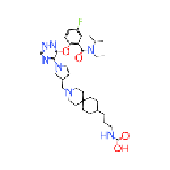 CCN(C(=O)c1cc(F)ccc1Oc1nncnc1N1CC[C@@H](CN2CCC3(CCC(CCCNC(=O)O)CC3)CC2)C1)C(C)C